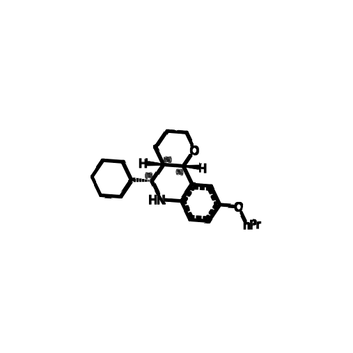 CCCOc1ccc2c(c1)[C@H]1OCCC[C@H]1[C@@H](C1CCCCC1)N2